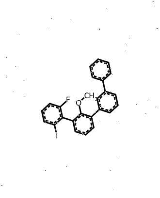 COc1c(-c2cccc(-c3ccccc3)c2)cccc1-c1c(F)cccc1I